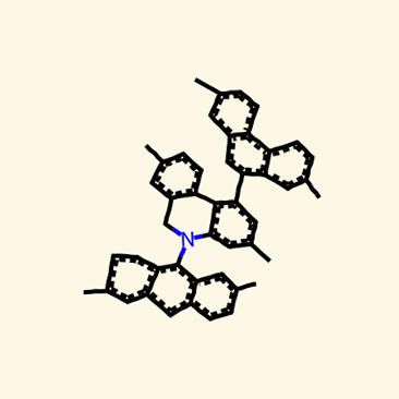 Cc1ccc2c(c1)CN(c1c3ccc(C)cc3cc3ccc(C)cc13)c1cc(C)cc(-c3cc4cc(C)ccc4c4ccc(C)cc34)c1-2